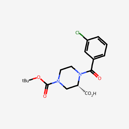 CC(C)(C)OC(=O)N1CCN(C(=O)c2cccc(Cl)c2)[C@H](C(=O)O)C1